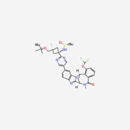 CN1C(=O)c2cccc(OC(F)F)c2[C@H]2C[C@@H]1c1nc3ccc(-c4cnc([C@]5(N[S@@+]([O-])C(C)(C)C)C[C@@](C)(CO[Si](C)(C)C(C)(C)C)C5)nc4)cc3n12